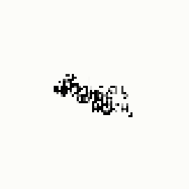 COC(C)c1c(NC(=O)Nc2cc(C(F)(F)F)c(-n3nccn3)nc2C)cnc2ccc(C)nc12